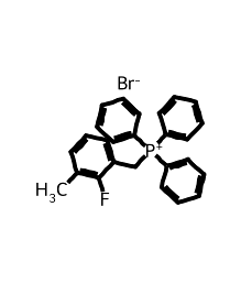 Cc1cccc(C[P+](c2ccccc2)(c2ccccc2)c2ccccc2)c1F.[Br-]